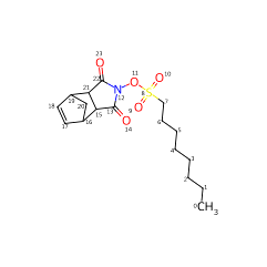 CCCCCCCCS(=O)(=O)ON1C(=O)C2C3C=CC(C3)C2C1=O